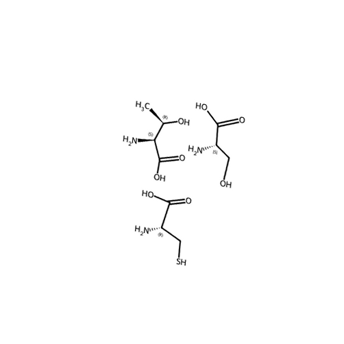 C[C@@H](O)[C@H](N)C(=O)O.N[C@@H](CO)C(=O)O.N[C@@H](CS)C(=O)O